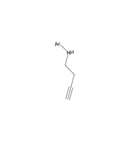 C#CCCNC(C)=O